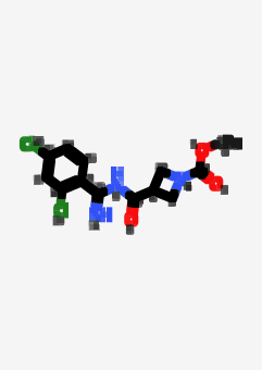 CC(C)(C)OC(=O)N1CC(C(=O)NC(=N)c2ccc(Cl)cc2Cl)C1